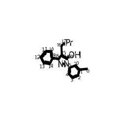 Cc1cccc(-n2nc(-c3ccccc3)c(CC(C)C)c2O)c1